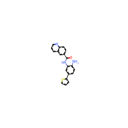 Nc1ccc(-c2cccs2)cc1NC(=O)c1ccc2ncccc2c1